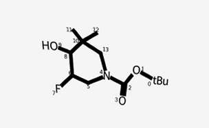 CC(C)(C)OC(=O)N1CC(F)C(O)C(C)(C)C1